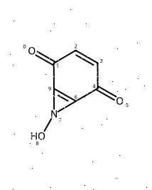 O=c1ccc(=O)c2n(O)c1=2